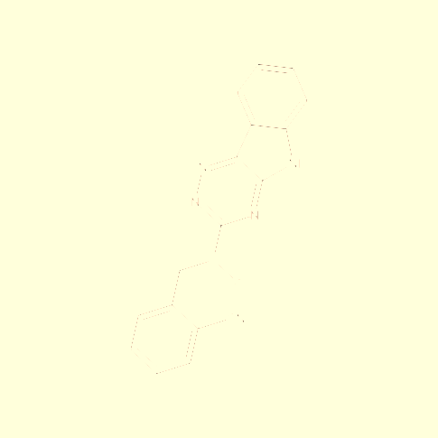 N#Cc1ccccc1C[S+]([O-])c1nnc2c(n1)[nH]c1ccccc12